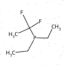 CCP(CC)C(C)(F)F